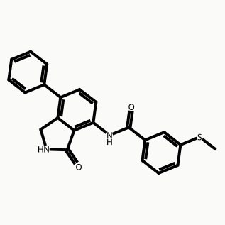 CSc1cccc(C(=O)Nc2ccc(-c3ccccc3)c3c2C(=O)NC3)c1